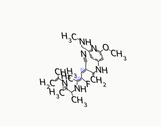 C=C(C)N[C@@H](C)C(C)N/C(C)=C(F)/C=C(/C#N)C(=C)Nc1cc(CNC)nc(OC)c1